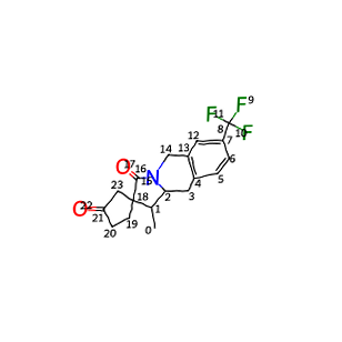 CC1C2Cc3ccc(C(F)(F)F)cc3CN2C(=O)C12CCC(=O)C2